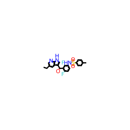 CCc1cnc2[nH]cc(C(=O)c3c(F)ccc(NS(=O)(=O)c4ccc(C)cc4)c3F)c2c1